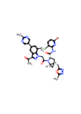 CC(=O)c1nn(CC(=O)N2[C@H](C(=O)Nc3nc(Br)ccc3Cl)C[C@@]3(Cc4nnc(C)o4)C[C@@H]23)c2c(C)cc(-c3cnc(C)nc3)cc12